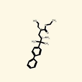 CCOC(=O)[C@H](CCO)C[C@H](N)C(C)(C)c1ccc(-c2ccccc2)cc1